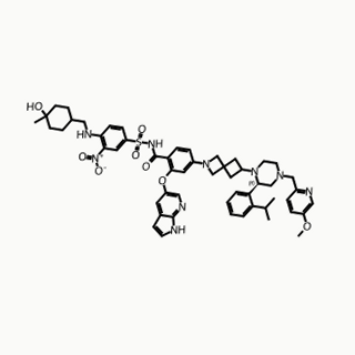 COc1ccc(CN2CCN(C3CC4(C3)CN(c3ccc(C(=O)NS(=O)(=O)c5ccc(NCC6CCC(C)(O)CC6)c([N+](=O)[O-])c5)c(Oc5cnc6[nH]ccc6c5)c3)C4)[C@H](c3ccccc3C(C)C)C2)nc1